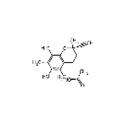 C#CC1(C)CCc2c(C)c(O)c(C)c(C)c2O1.CC(=O)O